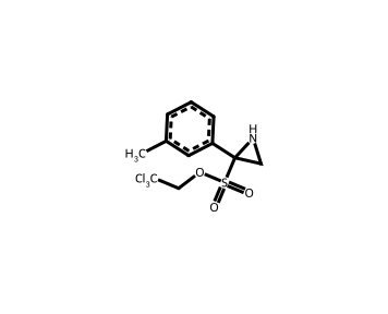 Cc1cccc(C2(S(=O)(=O)OCC(Cl)(Cl)Cl)CN2)c1